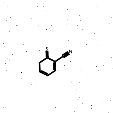 N#CC1=[C]C=CCC1=S